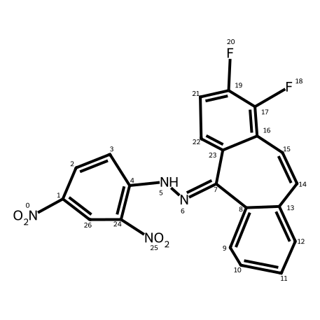 O=[N+]([O-])c1ccc(NN=c2c3ccccc3ccc3c(F)c(F)ccc23)c([N+](=O)[O-])c1